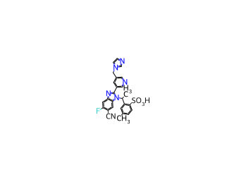 Cc1ccc(S(=O)(=O)O)c(C(C)n2c(-c3cncc(Cn4ccnc4)c3)nc3cc(F)c(C#N)cc32)c1